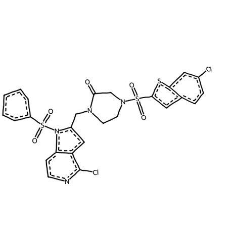 O=C1CN(S(=O)(=O)c2cc3ccc(Cl)cc3s2)CCN1Cc1cc2c(Cl)nccc2n1S(=O)(=O)c1ccccc1